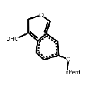 CCCCCOc1ccc2c(c1)=COCC=2C=O